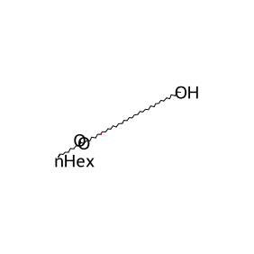 CCCCCC/C=C\CCCCCCCC(=O)OCCCCCCCCCCCCCCCCCCCCCCCCCCCCCCCCCCCO